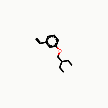 C=Cc1cccc(OCC(CC)CC)c1